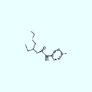 CCCCC(CC)CC(=O)Nc1c[c]c(C)cc1